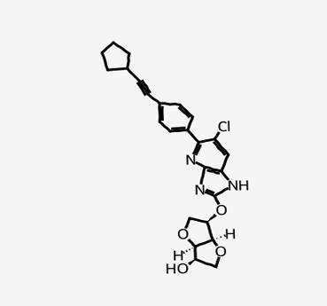 O[C@@H]1CO[C@H]2[C@@H]1OC[C@H]2Oc1nc2nc(-c3ccc(C#CC4CCCC4)cc3)c(Cl)cc2[nH]1